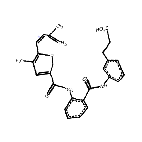 C=C(C)/C=C\C1=C(C)C=C(C(=O)Nc2ccccc2C(=O)Nc2cccc(CCC(=O)O)c2)CO1